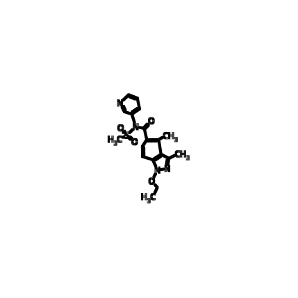 CCOn1nc(C)c2c(C)c(C(=O)N(c3cccnc3)S(C)(=O)=O)ccc21